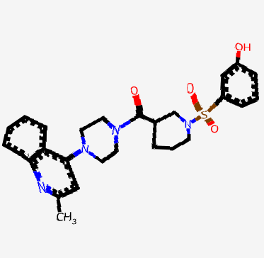 Cc1cc(N2CCN(C(=O)C3CCCN(S(=O)(=O)c4cccc(O)c4)C3)CC2)c2ccccc2n1